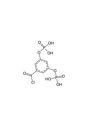 O=C(Cl)c1cc(OP(=O)(O)O)cc(OP(=O)(O)O)c1